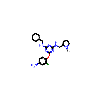 CCN1CCCC1CNc1nc(NCC2CCCCC2)nc(Oc2ccc(N)cc2F)n1